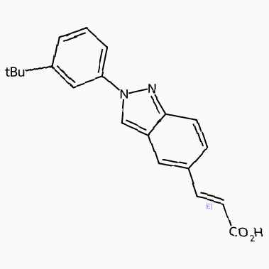 CC(C)(C)c1cccc(-n2cc3cc(/C=C/C(=O)O)ccc3n2)c1